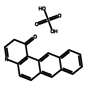 O=C1CC=Nc2ccc3cc4ccccc4cc3c21.O=S(=O)(O)O